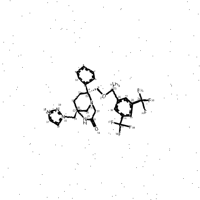 C[C@@H](OC[C@@]1(c2ccccc2)CC[C@]2(Cn3ccnn3)CN1CC(=O)N2)c1cc(C(F)(F)F)cc(C(F)(F)F)c1